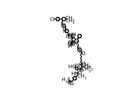 Cc1ncsc1-c1ccc([C@H](C)NC(=O)[C@@H]2C[C@@H](O)CN2C(=O)[C@@H](NC(=O)CCCCCC(=O)N2CCN(CC[C@H](CSc3ccccc3)Nc3ccc(S(=O)(=O)NC(=O)c4ccc(N5CCN(CC6=C(c7ccc(Cl)cc7)CCC(C)(C)C6)CC5)nc4)cc3S(=O)(=O)C(F)(F)F)CC2)C(C)(C)C)cc1